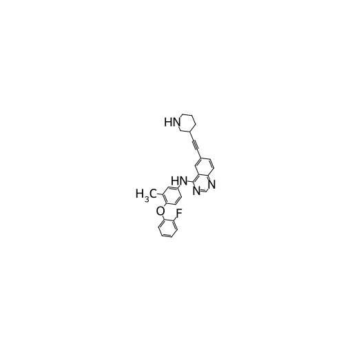 Cc1cc(Nc2ncnc3ccc(C#CC4CCCNC4)cc23)ccc1Oc1ccccc1F